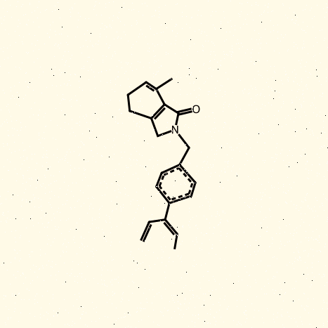 C=C/C(=C\C)c1ccc(CN2CC3=C(C2=O)C(C)=CCC3)cc1